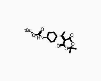 CC(=C1C(=O)OC(C)(C)OC1=O)[C@H]1CC[C@H](NC(=O)OC(C)(C)C)CC1